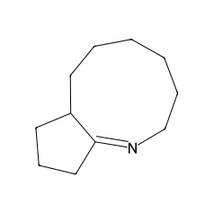 C1CCCC2CCCC2=NCC1